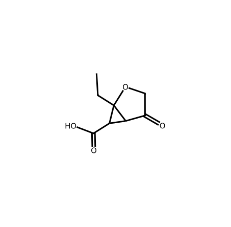 CCC12OCC(=O)C1C2C(=O)O